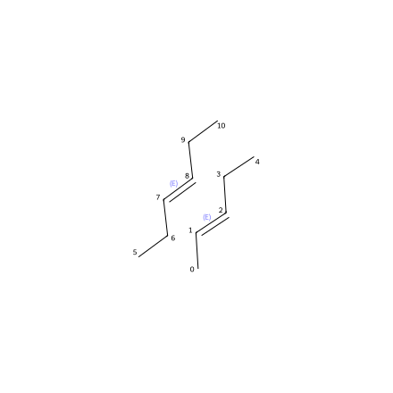 C/C=C/CC.CC/C=C/CC